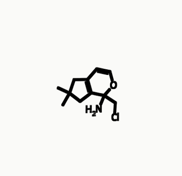 CC1(C)CC2=C(C1)C(N)(CCl)OC=C2